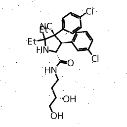 CCC1(CC)N[C@@H](C(=O)NCC[C@H](O)CO)[C@H](c2cccc(Cl)c2)[C@@]1(C#N)c1ccc(Cl)cc1